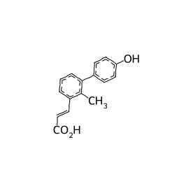 Cc1c(C=CC(=O)O)cccc1-c1ccc(O)cc1